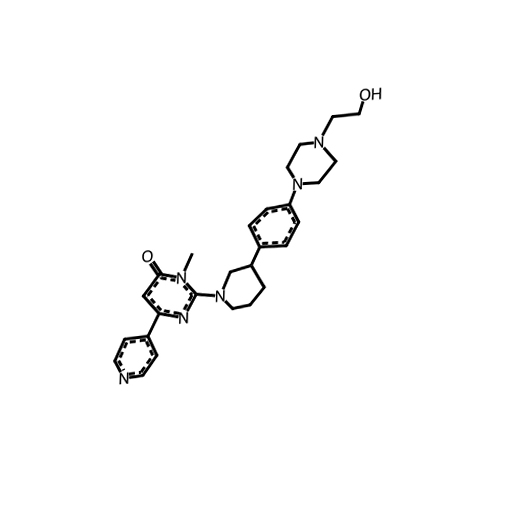 Cn1c(N2CCCC(c3ccc(N4CCN(CCO)CC4)cc3)C2)nc(-c2ccncc2)cc1=O